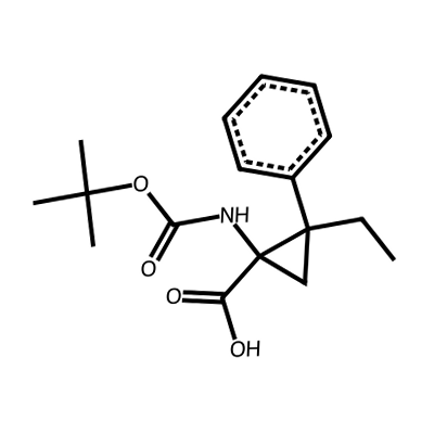 CCC1(c2ccccc2)CC1(NC(=O)OC(C)(C)C)C(=O)O